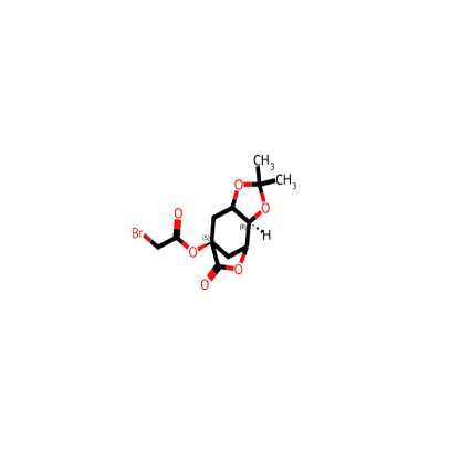 CC1(C)OC2C[C@]3(OC(=O)CBr)CC(OC3=O)[C@@H]2O1